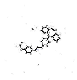 CC(=O)Oc1ccc(/C=C/CN2CCC(=C3c4ccccc4C=Cc4ccccc43)CC2)cc1.Cl